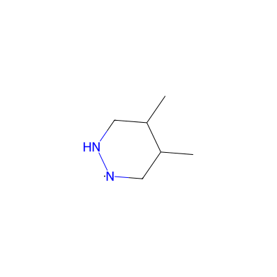 CC1C[N]NCC1C